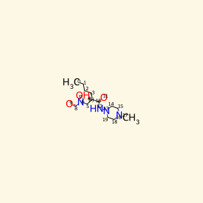 CCCC[C@H](CN(O)C=O)C(=O)NN1CCN(C)CC1